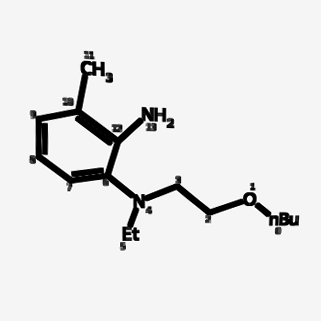 CCCCOCCN(CC)c1cccc(C)c1N